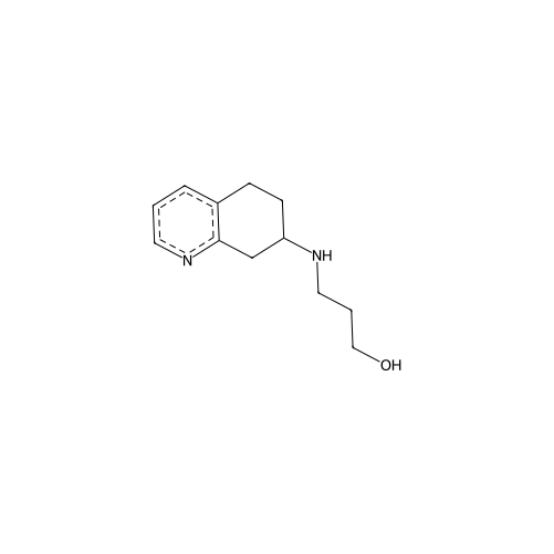 OCCCNC1CCc2cccnc2C1